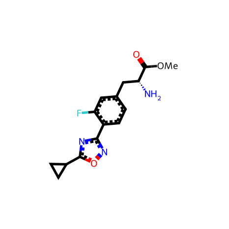 COC(=O)[C@H](N)Cc1ccc(-c2noc(C3CC3)n2)c(F)c1